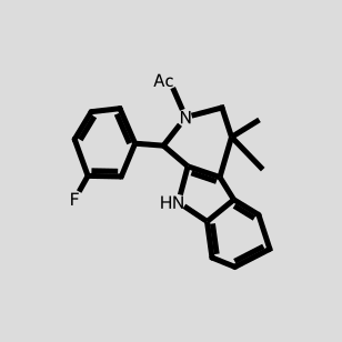 CC(=O)N1CC(C)(C)c2c([nH]c3ccccc23)C1c1cccc(F)c1